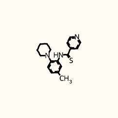 Cc1ccc(N2CCCCC2)c(NC(=S)c2ccncc2)c1